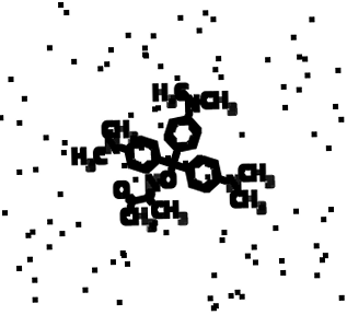 CC(=O)/C(C)=N/OC(c1ccc(N(C)C)cc1)(c1ccc(N(C)C)cc1)c1ccc(N(C)C)cc1